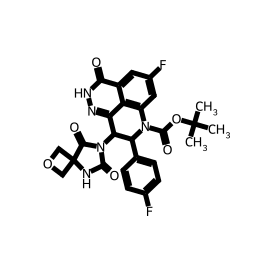 CC(C)(C)OC(=O)N1c2cc(F)cc3c(=O)[nH]nc(c23)C(N2C(=O)NC3(COC3)C2=O)C1c1ccc(F)cc1